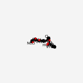 CC(C)C(C(=O)N1C[C@H](O)C[C@H]1C(=O)NCc1ccc(Cl)cc1OCCN1CCN(c2ccc(C(=O)NC3C(C)(C)C(Oc4ccc(C#N)c(Cl)c4)C3(C)C)cn2)CC1)N1Cc2ccccc2C1=O